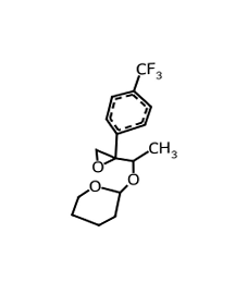 CC(OC1CCCCO1)C1(c2ccc(C(F)(F)F)cc2)CO1